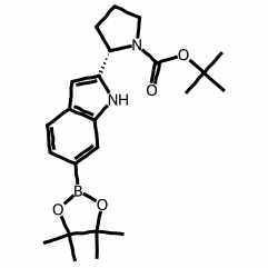 CC(C)(C)OC(=O)N1CCC[C@H]1c1cc2ccc(B3OC(C)(C)C(C)(C)O3)cc2[nH]1